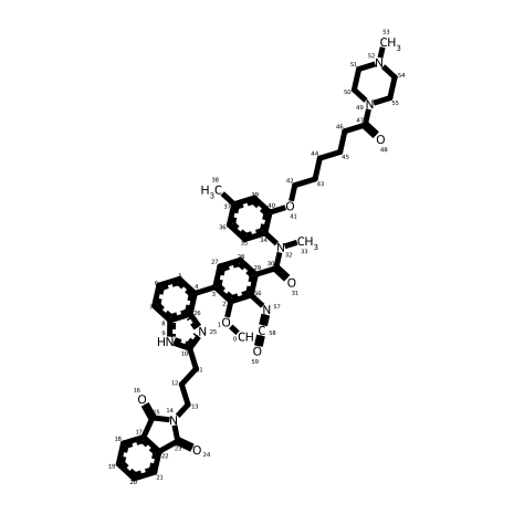 COc1c(-c2cccc3[nH]c(CCCN4C(=O)c5ccccc5C4=O)nc23)ccc(C(=O)N(C)c2ccc(C)cc2OCCCCCC(=O)N2CCN(C)CC2)c1N=C=O